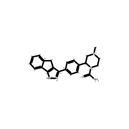 CN1CCN(C(N)=O)C(c2ccc(-c3n[nH]c4c3Cc3ccccc3-4)cc2)C1